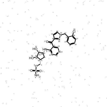 NS(=O)(=O)OC[C@H]1C[C@@H](Nc2ncncc2C(=O)c2ccn(Cc3ccccc3Cl)n2)[C@H](O)[C@@H]1O